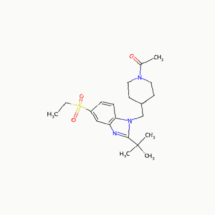 CCS(=O)(=O)c1ccc2c(c1)nc(C(C)(C)C)n2CC1CCN(C(C)=O)CC1